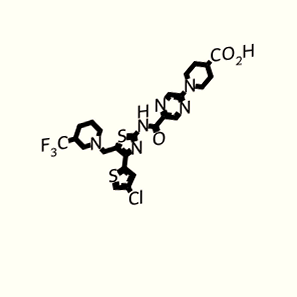 O=C(Nc1nc(-c2cc(Cl)cs2)c(CN2CCCC(C(F)(F)F)C2)s1)c1cnc(N2CCC(C(=O)O)CC2)cn1